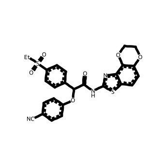 CCS(=O)(=O)c1ccc(C(Oc2ccc(C#N)cc2)C(=O)Nc2nc3c4c(ccc3s2)OCCO4)cc1